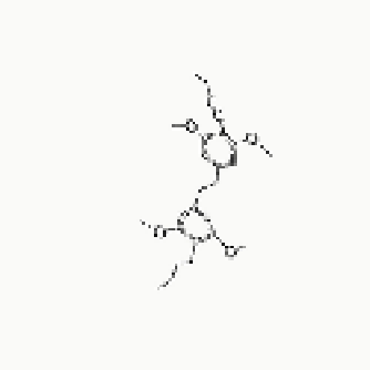 CCCCc1c(OC)cc(CCc2cc(OC)c(CCCC)c(OC)c2)cc1OC